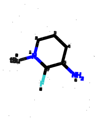 CC(C)(C)N1CCCC(N)C1F